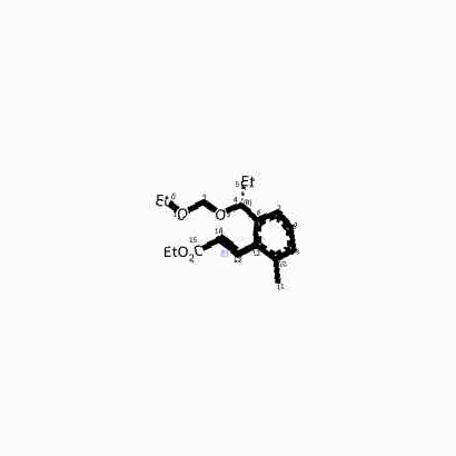 CCOCO[C@H](CC)c1cccc(C)c1/C=C/C(=O)OCC